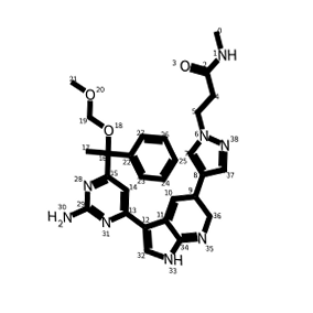 CNC(=O)CCn1cc(C2C=c3c(-c4cc(C(C)(OCOC)c5ccccc5)nc(N)n4)c[nH]c3=NC2)cn1